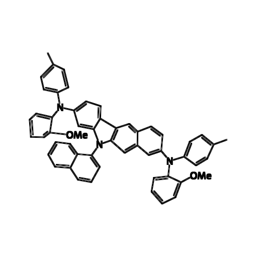 COc1ccccc1N(c1ccc(C)cc1)c1ccc2cc3c4ccc(N(c5ccc(C)cc5)c5ccccc5OC)cc4n(-c4cccc5ccccc45)c3cc2c1